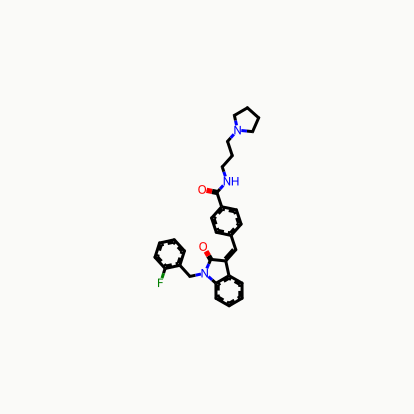 O=C(NCCCN1CCCC1)c1ccc(C=C2C(=O)N(Cc3ccccc3F)c3ccccc32)cc1